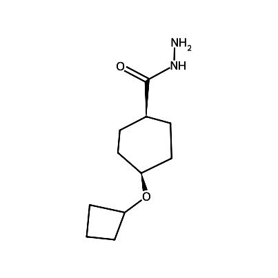 NNC(=O)[C@H]1CC[C@@H](OC2CCC2)CC1